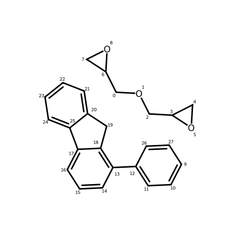 C(OCC1CO1)C1CO1.c1ccc(-c2cccc3c2Cc2ccccc2-3)cc1